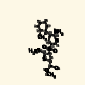 COC(=O)c1cc(S(=O)(=O)c2cnc(N)c(-c3ccccc3C)c2)c(SC)s1